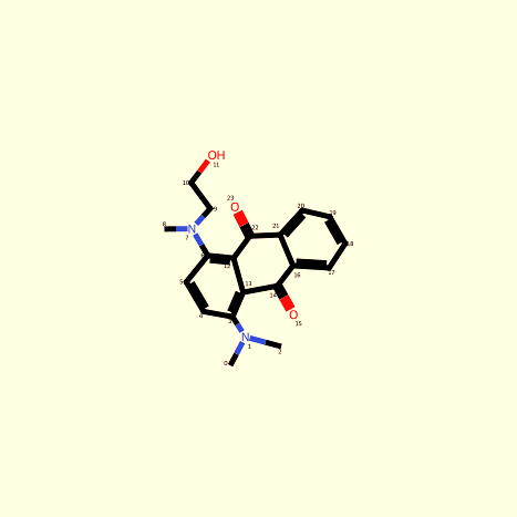 CN(C)c1ccc(N(C)CCO)c2c1C(=O)c1ccccc1C2=O